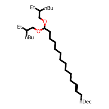 CCCCCCCCCCC/C=C/CCCCCCCCCCC(OCC(CC)CCCC)OCC(CC)CCCC